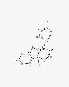 Cc1ccc(C2=C3Sc4ccccc4C3(C)CC=C2)cc1